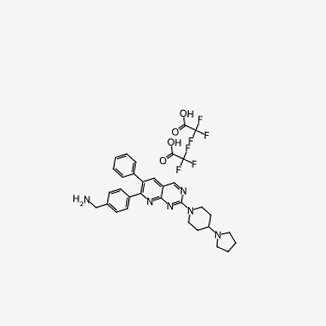 NCc1ccc(-c2nc3nc(N4CCC(N5CCCC5)CC4)ncc3cc2-c2ccccc2)cc1.O=C(O)C(F)(F)F.O=C(O)C(F)(F)F